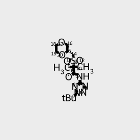 CC(C)(C)n1nnc(NC(=O)C(C)(C)S(=O)(=O)C[C@H]2COCCO2)n1